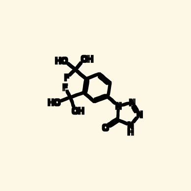 O=c1[nH]nnn1-c1ccc(C(O)(O)F)c(C(O)(O)F)c1